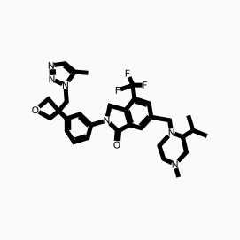 Cc1cnnn1CC1(c2cccc(N3Cc4c(cc(CN5CCN(C)CC5C(C)C)cc4C(F)(F)F)C3=O)c2)COC1